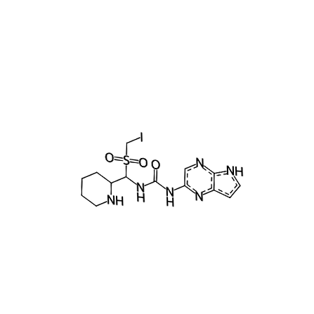 O=C(Nc1cnc2[nH]ccc2n1)NC(C1CCCCN1)S(=O)(=O)CI